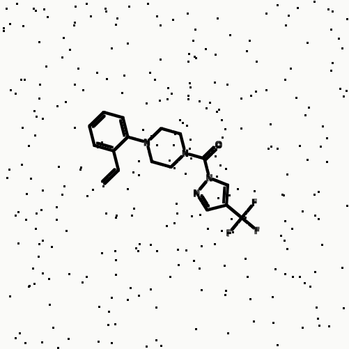 C=Cc1ccccc1N1CCN(C(=O)n2cc(C(F)(F)F)cn2)CC1